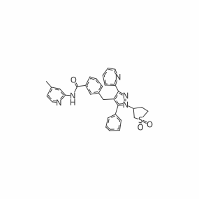 Cc1ccnc(NC(=O)c2cccc(Cc3c(-c4ccccn4)nn(C4CCS(=O)(=O)C4)c3-c3ccccc3)c2)c1